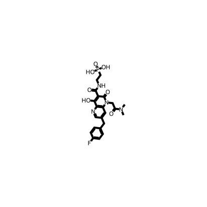 CN(C)C(=O)Cn1c(=O)c(C(=O)NCCP(=O)(O)O)c(O)c2ncc(Cc3ccc(F)cc3)cc21